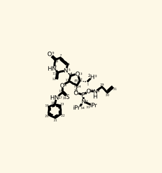 [2H]C[C@H]1O[C@@H](N2C=CC(=O)NC2=C)C(OC(=S)Nc2ccccc2)[C@H]1OP(ONCC=C)N(C(C)C)C(C)C